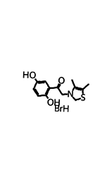 Br.CC1=C(C)N(CC(=O)c2cc(O)ccc2O)CS1